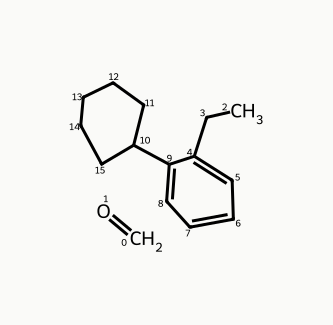 C=O.CCc1ccccc1C1CCCCC1